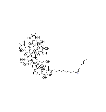 CCCCCC/C=C\CCCCCCCCCC(=O)NC1C(O)[C@H](O)C(CO)O[C@H]1O[C@@H]1C(CO)C2O[C@@H](O[C@@H]3C(CO)O[C@@H](O[C@@H]4C(CO)O[C@@H](O[C@@H]5C(CO[C@@H]6OC(C)(N)[C@@H](O)C(O)C6OC)O[C@@H](O)C(NC(C)=O)C5O)C(NC(C)=O)C4O)C(NC(C)=O)C3O)C2(NC(C)=O)C1O